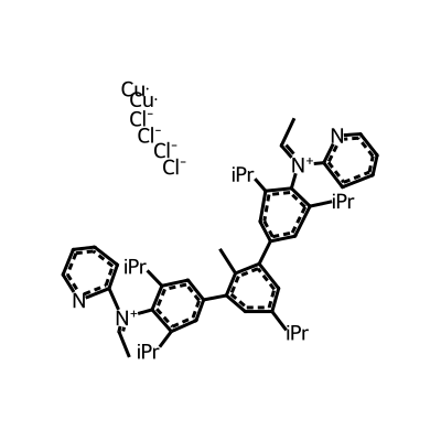 CC=[N+](c1ccccn1)c1c(C(C)C)cc(-c2cc(C(C)C)cc(-c3cc(C(C)C)c([N+](=CC)c4ccccn4)c(C(C)C)c3)c2C)cc1C(C)C.[Cl-].[Cl-].[Cl-].[Cl-].[Cu].[Cu]